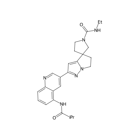 CCNC(=O)N1CCC2(CCn3nc(-c4cnc5cccc(NC(=O)C(C)C)c5c4)cc32)C1